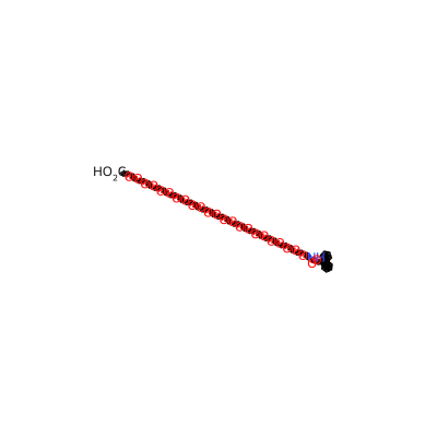 O=C(O)CCOCCOCCOCCOCCOCCOCCOCCOCCOCCOCCOCCOCCOCCOCCOCCOCCOCCOCCOCCOCCOCCOCCOCCNC(=O)OCC1c2ccccc2-c2ccccc21